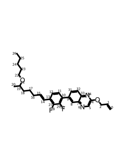 C=CCOc1cnc2cc(-c3ccc(C=CCCCC(C)OCCCCC)c(F)c3F)ccc2n1